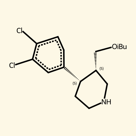 CC(C)COC[C@@H]1CNCC[C@@H]1c1ccc(Cl)c(Cl)c1